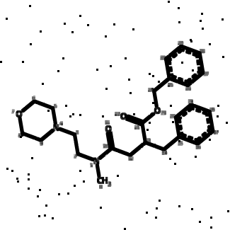 CN(CCN1CCOCC1)C(=O)CC(Cc1ccccc1)C(=O)OCc1ccccc1